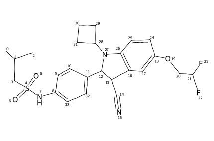 CC(C)CS(=O)(=O)Nc1ccc(C2C(C#N)c3cc(OCC(F)F)ccc3N2C2CCC2)cc1